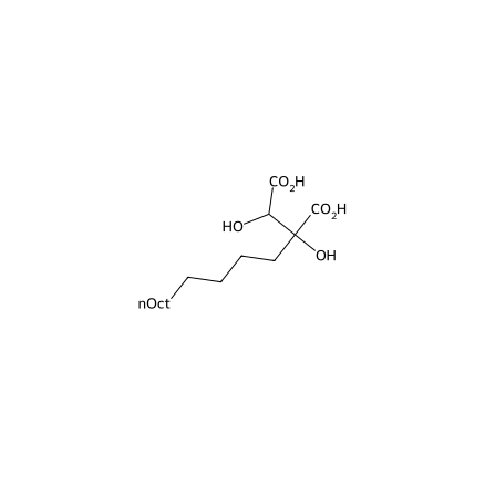 CCCCCCCCCCCCC(O)(C(=O)O)C(O)C(=O)O